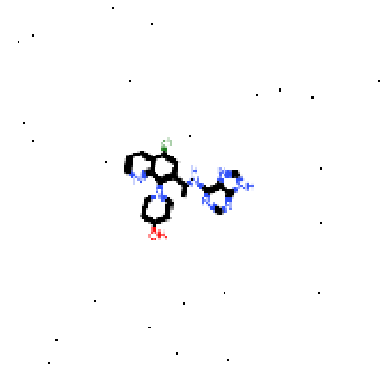 CC(Nc1ncnc2[nH]cnc12)c1cc(Cl)c2cccnc2c1N1CCC(O)CC1